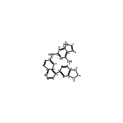 Oc1nc(Nc2ccc3nccc(-c4ccc5c(c4)OCO5)c3c2)nc2[nH]cnc12